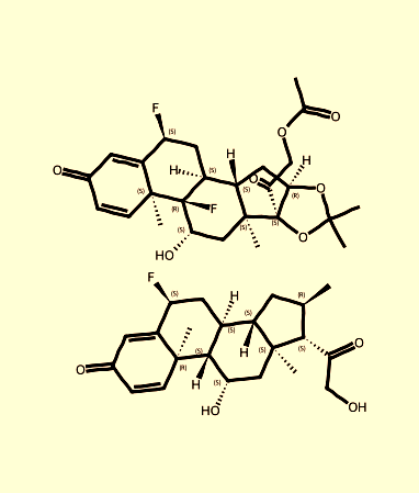 CC(=O)OCC(=O)[C@@]12OC(C)(C)O[C@@H]1C[C@H]1[C@@H]3C[C@H](F)C4=CC(=O)C=C[C@]4(C)[C@@]3(F)[C@@H](O)C[C@@]12C.C[C@@H]1C[C@H]2[C@@H]3C[C@H](F)C4=CC(=O)C=C[C@]4(C)[C@H]3[C@@H](O)C[C@]2(C)[C@H]1C(=O)CO